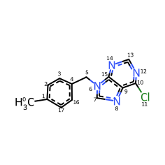 Cc1ccc(Cn2cnc3c(Cl)ncnc32)cc1